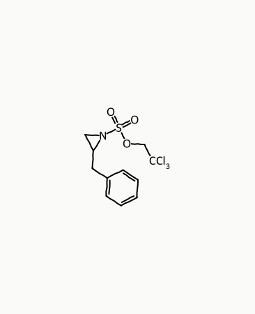 O=S(=O)(OCC(Cl)(Cl)Cl)N1CC1Cc1ccccc1